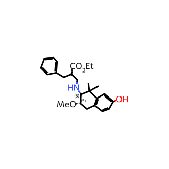 CCOC(=O)C(CN[C@@H]1[C@@H](OC)Cc2ccc(O)cc2C1(C)C)Cc1ccccc1